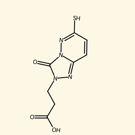 O=C(O)CCn1nc2ccc(S)nn2c1=O